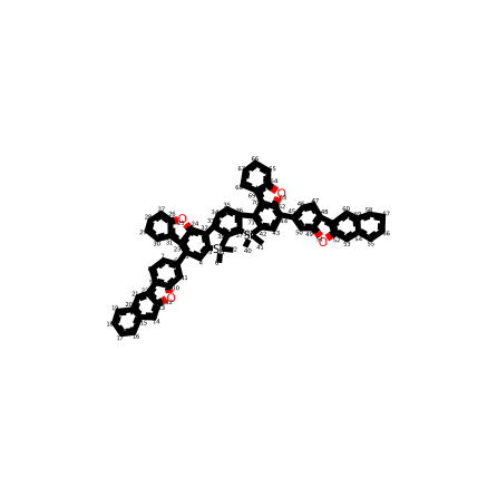 C[Si]1(C)c2cc(-c3ccc4c(c3)oc3cc5ccccc5cc34)c3c(oc4ccccc43)c2-c2ccc3c(c21)[Si](C)(C)c1cc(-c2ccc4c(c2)oc2cc5ccccc5cc24)c2oc4ccccc4c2c1-3